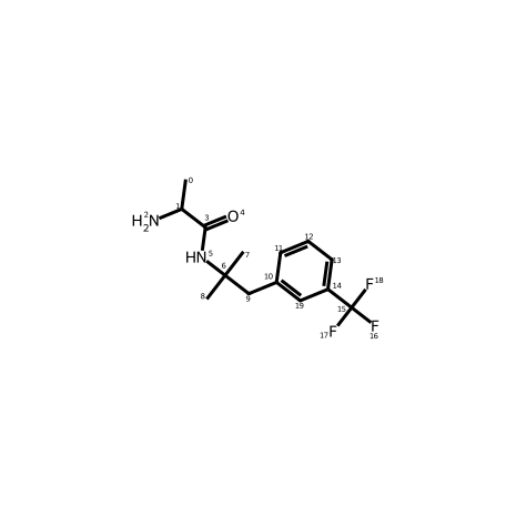 CC(N)C(=O)NC(C)(C)Cc1cccc(C(F)(F)F)c1